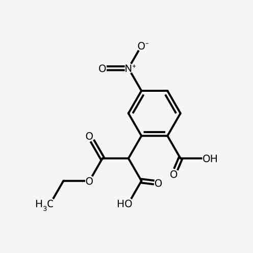 CCOC(=O)C(C(=O)O)c1cc([N+](=O)[O-])ccc1C(=O)O